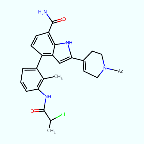 CC(=O)N1CC=C(c2cc3c(-c4cccc(NC(=O)C(C)Cl)c4C)ccc(C(N)=O)c3[nH]2)CC1